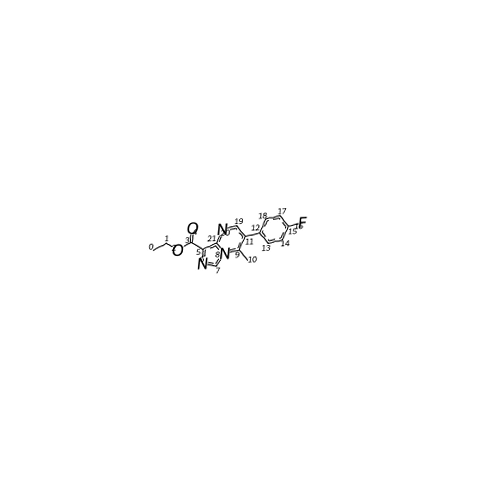 CCOC(=O)c1ncn2c(C)c(-c3ccc(F)cc3)cnc12